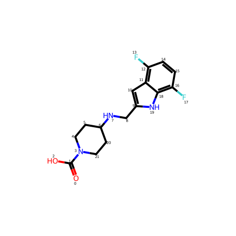 O=C(O)N1CCC(NCc2cc3c(F)ccc(F)c3[nH]2)CC1